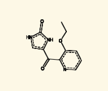 CCOc1cccnc1C(=O)c1c[nH]c(=O)[nH]1